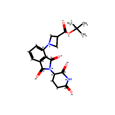 CC(C)(C)OC(=O)C1CN(c2cccc3c2C(=O)N(C2CCC(=O)NC2=O)C3=O)C1